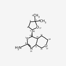 CC1(C)CC[C@H](C2SC(N)=NC3COCCC32)O1